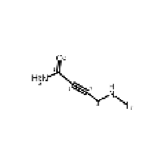 NC(=O)C#CCNI